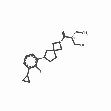 CC[C@H](CO)C(=O)N1CC2(CC[C@@H](c3cccc(C4CC4)c3F)C2)C1